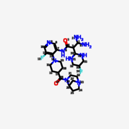 NC(N)C(C(=O)Nc1cncc(F)c1N1CCC(C(=O)N2CCN3CCC2C3)CC1)C1NCC(F)CN1